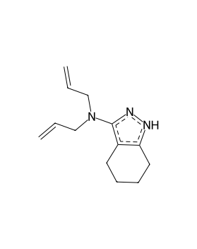 C=CCN(CC=C)c1n[nH]c2c1CCCC2